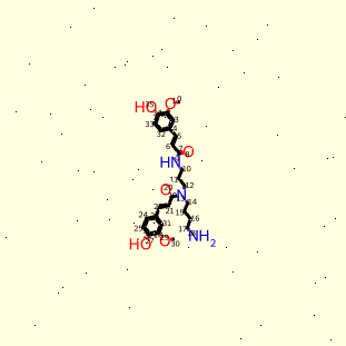 COc1cc(/C=C/C(=O)NCCCN(CCCCN)C(=O)/C=C/c2ccc(O)c(OC)c2)ccc1O